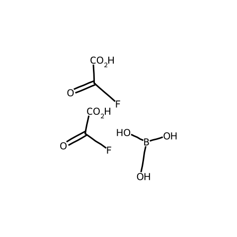 O=C(O)C(=O)F.O=C(O)C(=O)F.OB(O)O